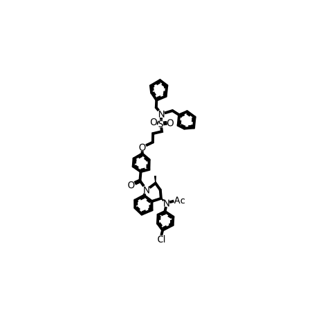 CC(=O)N(c1ccc(Cl)cc1)[C@@H]1C[C@H](C)N(C(=O)c2ccc(OCCCS(=O)(=O)N(Cc3ccccc3)Cc3ccccc3)cc2)c2ccccc21